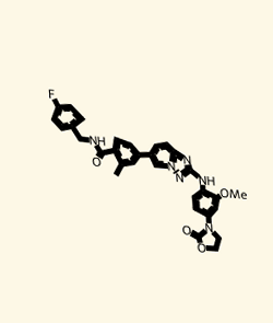 COc1cc(N2CCOC2=O)ccc1Nc1nc2ccc(-c3ccc(C(=O)NCc4ccc(F)cc4)c(C)c3)cn2n1